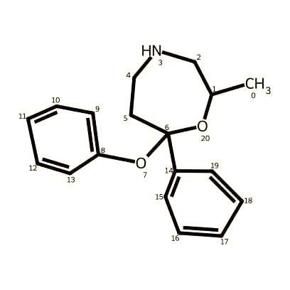 CC1CNCCC(Oc2ccccc2)(c2ccccc2)O1